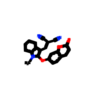 Cn1c(Oc2ccc3ccc(=O)oc3c2)c(C=C(C#N)C#N)c2ccccc21